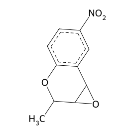 CC1Oc2ccc([N+](=O)[O-])cc2C2OC12